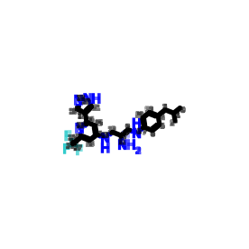 CC(C)Cc1ccc(N/C=C(\N)CNc2cc(-c3cn[nH]c3)nc(C(F)(F)F)c2)cc1